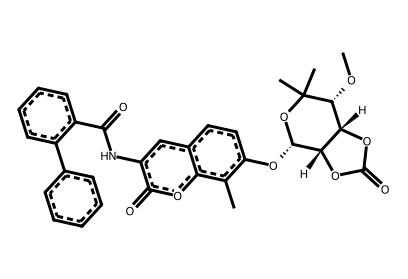 CO[C@@H]1[C@@H]2OC(=O)O[C@@H]2[C@H](Oc2ccc3cc(NC(=O)c4ccccc4-c4ccccc4)c(=O)oc3c2C)OC1(C)C